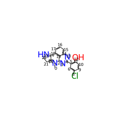 CN(c1nc(-c2cc(Cl)ccc2O)nc2ccccc12)[C@H]1CCNC1